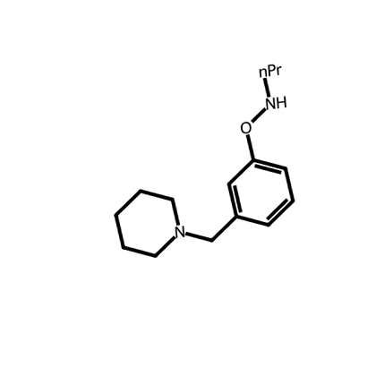 CCCNOc1cccc(CN2CCCCC2)c1